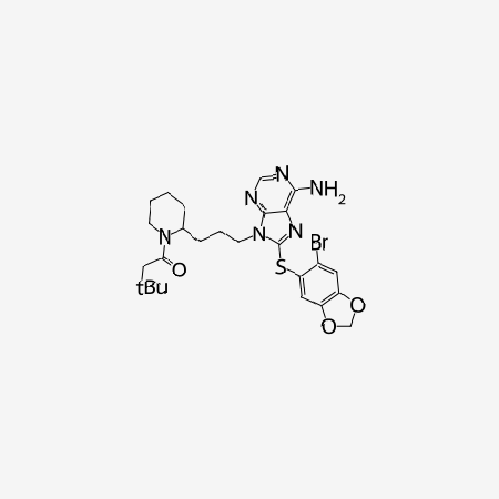 CC(C)(C)CC(=O)N1CCCCC1CCCn1c(Sc2cc3c(cc2Br)OCO3)nc2c(N)ncnc21